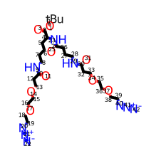 CC(C)(C)OC(=O)C(CCCCNC(=O)CCOCCOCCN=[N+]=[N-])NC(=O)CCCNC(=O)CCOCCOCCN=[N+]=[N-]